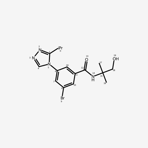 CC(C)c1nncn1-c1cc(Br)cc(C(=O)NC(C)(C)CO)c1